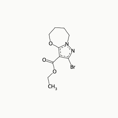 CCOC(=O)c1c(Br)nn2c1OCCCC2